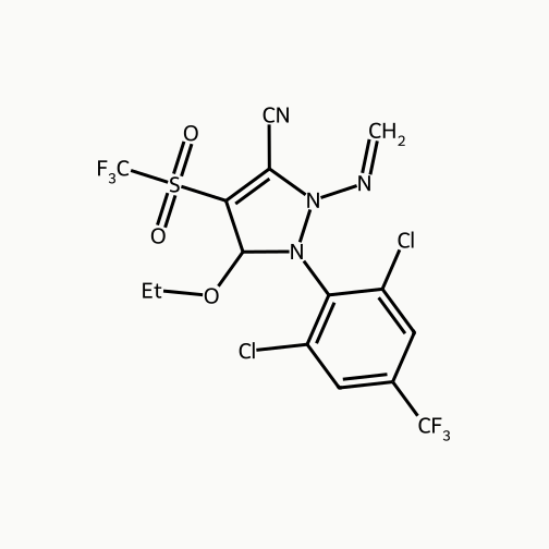 C=NN1C(C#N)=C(S(=O)(=O)C(F)(F)F)C(OCC)N1c1c(Cl)cc(C(F)(F)F)cc1Cl